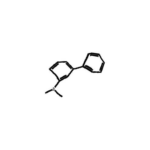 CB(C)c1cccc(-c2ccccc2)c1